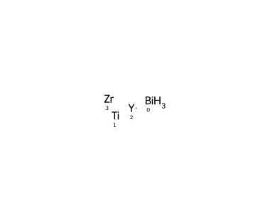 [BiH3].[Ti].[Y].[Zr]